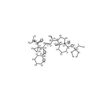 CC[Si](CC)(CC)OC1CCC[C@]2(C)C([C@H](C)/C=C/[C@@H](O[C@@H]3CCCCO3)C3(C(=O)N(C)C)CC3)CC[C@@H]12